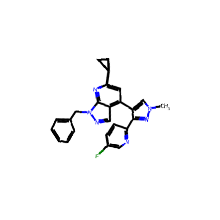 Cn1cc(-c2cc(C3CC3)nc3c2cnn3Cc2ccccc2)c(-c2ccc(F)cn2)n1